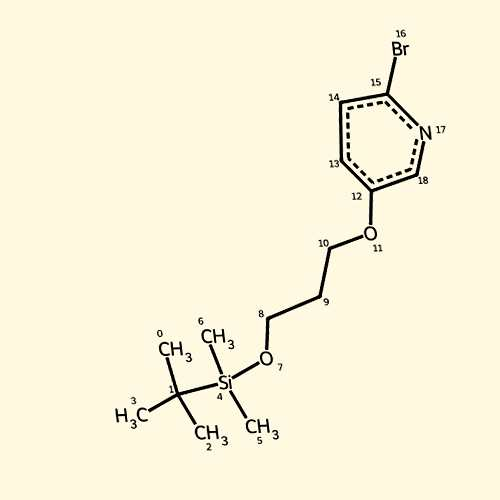 CC(C)(C)[Si](C)(C)OCCCOc1ccc(Br)nc1